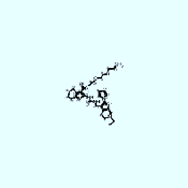 CCN1CCc2c(sc(-n3cccc3)c2CNC(=O)Nc2sc3c(c2C(=O)NCCOCCOCCN)CCCC3)C1